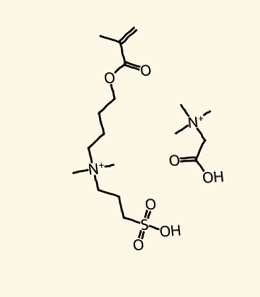 C=C(C)C(=O)OCCCC[N+](C)(C)CCCS(=O)(=O)O.C[N+](C)(C)CC(=O)O